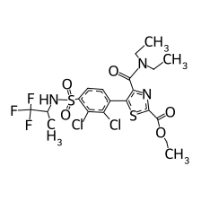 CCOC(=O)c1nc(C(=O)N(CC)CC)c(-c2ccc(S(=O)(=O)NC(C)C(F)(F)F)c(Cl)c2Cl)s1